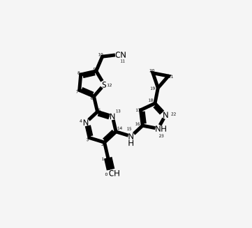 C#Cc1cnc(-c2ccc(CC#N)s2)nc1Nc1cc(C2CC2)n[nH]1